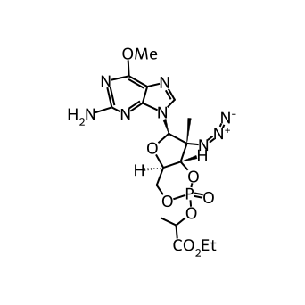 CCOC(=O)C(C)OP1(=O)OC[C@H]2O[C@@H](n3cnc4c(OC)nc(N)nc43)[C@](C)(N=[N+]=[N-])[C@@H]2O1